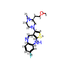 COCC[C@H]1CN(c2csc3c2C=Nc2ccc(F)cc2N3)CCN1C